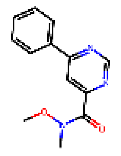 CON(C)C(=O)c1cc(-c2ccccc2)ncn1